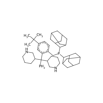 CC(C)(C)c1ccc(CP(C2C3CC4CC(C3)CC2C4)C2C3CC4CC(C3)CC2C4)c(C(P)(C2CCCNC2)C2CCCNC2)c1